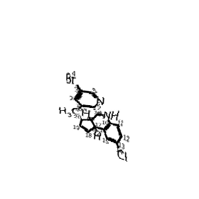 Cc1cc(Br)cnc1[C@@H]1Nc2ccc(Cl)cc2[C@@H]2C=CC[C@@H]21